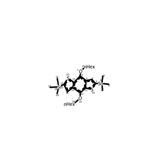 CCCCCCOc1c2c[c]([Sn]([CH3])([CH3])[CH3])sc2c(OCCCCCC)c2c[c]([Sn]([CH3])([CH3])[CH3])sc12